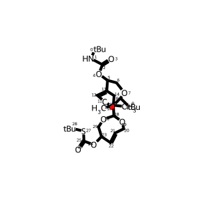 CC(C)(C)NC(=O)OC1COC(C(C)(C)C)OC/C=C/1CC(C)(C)C1OC/C=C/C(OC(=O)SC(C)(C)C)CO1